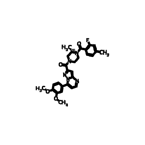 COc1ccc(-c2ccnc3cc(C(=O)N4CCN(C(=O)c5ccc(C)cc5F)[C@@H](C)C4)nn23)cc1OC